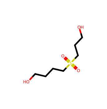 O=S(=O)(CCCO)CCCCO